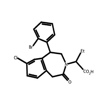 CCC(C(=O)O)N1CC(c2ccccc2Br)c2cc(Cl)ccc2CC1=O